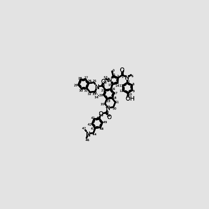 Cc1c(C(=O)N(C)c2ccc(O)cc2)cc(-c2cc3c(cc2C(=O)N2Cc4ccccc4C[C@H]2C)CN(C(=O)Oc2ccc(CN(C)C)cc2)CC3)n1C